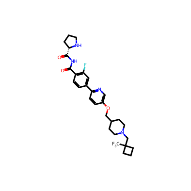 O=C(NC(=O)[C@@H]1CCCN1)c1ccc(-c2ccc(OCC3CCN(CC4(C(F)(F)F)CCC4)CC3)cn2)cc1F